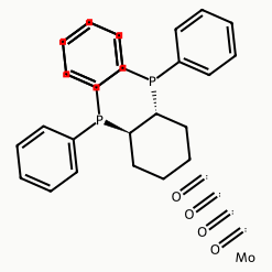 [C]=O.[C]=O.[C]=O.[C]=O.[Mo].c1ccc(P(c2ccccc2)[C@@H]2CCCC[C@H]2P(c2ccccc2)c2ccccc2)cc1